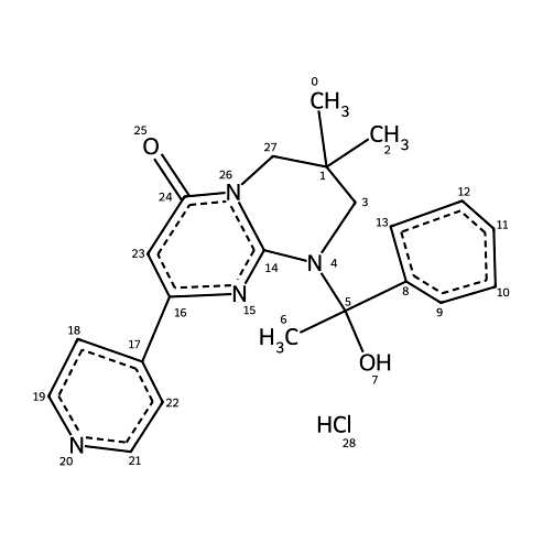 CC1(C)CN(C(C)(O)c2ccccc2)c2nc(-c3ccncc3)cc(=O)n2C1.Cl